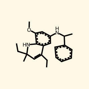 CCC1=CC(C)(CC)Nc2c(OC)cc(NC(C)c3ccccc3)cc21